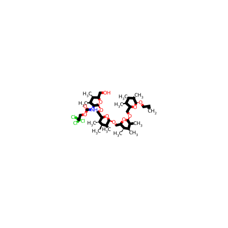 C=CCO[C@@H]1OC(CO[C@@H]2OC(CO[C@@H]3OC(CO[C@@H]4OC(CO)[C@@H](C)[C@H](C)C4NC(=O)OCC(Cl)(Cl)Cl)[C@@H](C)[C@H](C)C3C)[C@@H](C)[C@H](C)C2C)[C@@H](C)[C@H](C)C1C